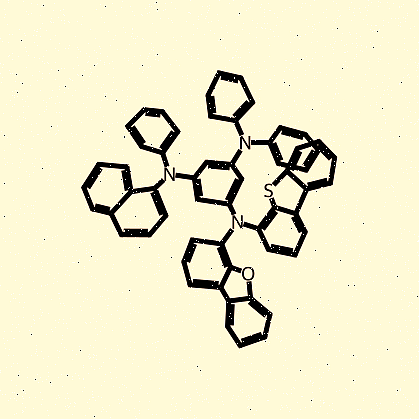 c1ccc(N(c2ccccc2)c2cc(N(c3ccccc3)c3cccc4ccccc34)cc(N(c3cccc4c3oc3ccccc34)c3cccc4c3sc3ccccc34)c2)cc1